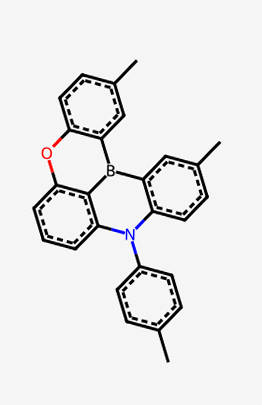 Cc1ccc(N2c3ccc(C)cc3B3c4cc(C)ccc4Oc4cccc2c43)cc1